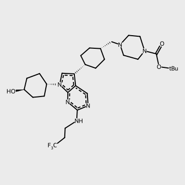 CC(C)(C)OC(=O)N1CCN(C[C@H]2CC[C@@H](c3cn([C@H]4CC[C@H](O)CC4)c4nc(NCCC(F)(F)F)ncc43)CC2)CC1